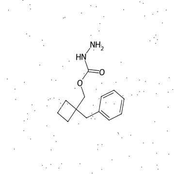 NNC(=O)OCC1(Cc2ccccc2)CCC1